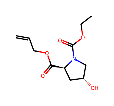 C=CCOC(=O)[C@@H]1C[C@@H](O)CN1C(=O)OCC